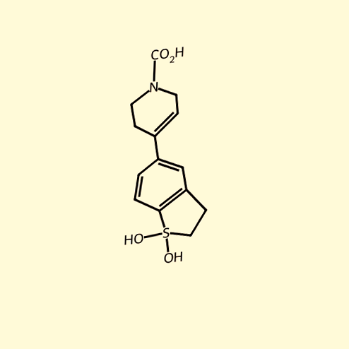 O=C(O)N1CC=C(c2ccc3c(c2)CCS3(O)O)CC1